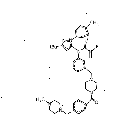 Cc1ccc(-n2nc(C(C)(C)C)cc2N(C(=O)NF)c2cccc(CN3CCN(C(=O)c4ccc(CN5CCN(C)CC5)cc4)CC3)c2)cc1